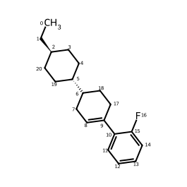 CC[C@H]1CC[C@H](C2CC=C(c3ccccc3F)CC2)CC1